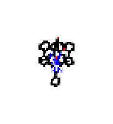 Cc1ccc2c(c1)c1cc(C)ccc1n2-c1c(-c2ccccc2)cccc1-c1nc(-c2ccccc2)nc(-c2cccc(-c3ccccc3)c2-n2c3ccc(C)cc3c3cc(C)cnc32)n1